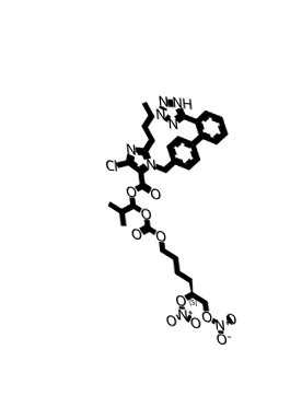 CCCCc1nc(Cl)c(C(=O)OC(OC(=O)OCCCC[C@@H](CO[N+](=O)[O-])O[N+](=O)[O-])C(C)C)n1Cc1ccc(-c2ccccc2-c2nnn[nH]2)cc1